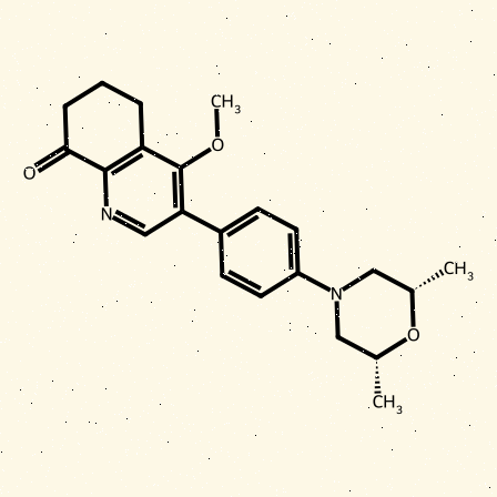 COc1c(-c2ccc(N3C[C@@H](C)O[C@@H](C)C3)cc2)cnc2c1CCCC2=O